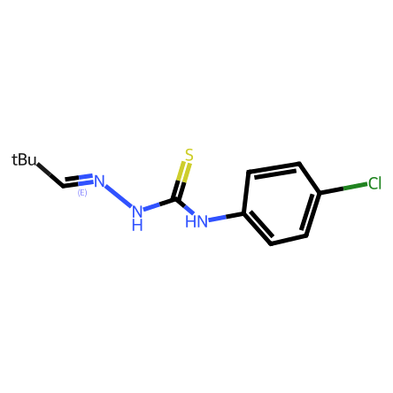 CC(C)(C)/C=N/NC(=S)Nc1ccc(Cl)cc1